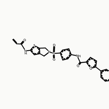 C=CC(=O)Nc1cc2c(s1)CN(S(=O)(=O)c1ccc(NC(=O)c3ccc(-c4ccccc4)o3)cc1)C2